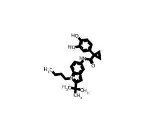 CCCCn1c(C(C)(C)C)cc2cc(NC(=O)C3(c4ccc(O)c(O)c4)CC3)ccc21